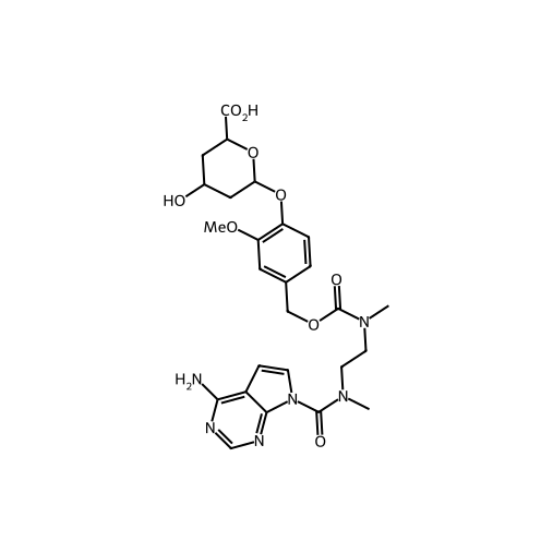 COc1cc(COC(=O)N(C)CCN(C)C(=O)n2ccc3c(N)ncnc32)ccc1OC1CC(O)CC(C(=O)O)O1